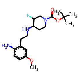 COc1ccc(N)c(CCNC2CCN(C(=O)OC(C)(C)C)CC2F)c1